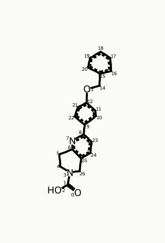 O=C(O)N1CCc2nc(-c3ccc(OCc4ccccc4)cc3)ccc2C1